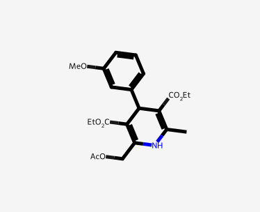 CCOC(=O)C1=C(C)NC(COC(C)=O)=C(C(=O)OCC)C1c1cccc(OC)c1